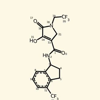 O=C(NC1CCc2c1cccc2C(F)(F)F)C1=C(O)C(=O)N(CC(F)(F)F)C1